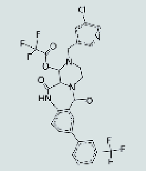 O=C1Nc2ccc(-c3cccc(C(F)(F)F)c3)cc2C(=O)N2CCN(Cc3cncc(Cl)c3)C(OC(=O)C(F)(F)F)C12